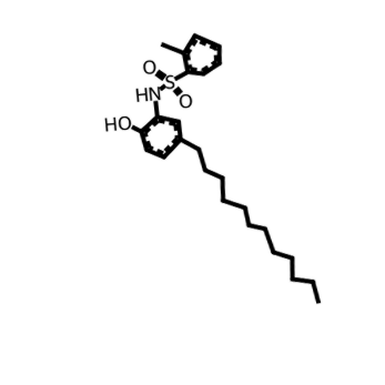 CCCCCCCCCCCCc1ccc(O)c(NS(=O)(=O)c2ccccc2C)c1